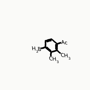 Bc1ccc(C(C)=O)c(C)c1C